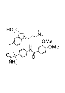 CN(C)CCCn1cc(C(=O)O)c2cc(F)ccc21.COc1ccc(C(=O)Nc2ccc(C(C)(C)C(N)=O)cc2)cc1OC